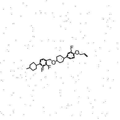 C=CCOc1ccc(C2CCC(OCc3ccc(C4CCC(C)CC4)c(F)c3F)CC2)cc1F